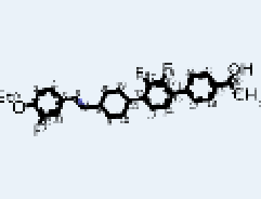 CCOc1ccc(/C=C/C2CCC(c3ccc(-c4ccc(C(C)O)cc4)c(F)c3F)CC2)cc1F